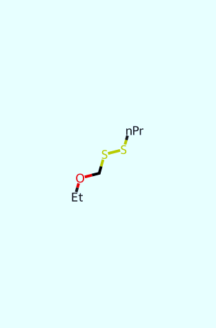 CCCSSCOCC